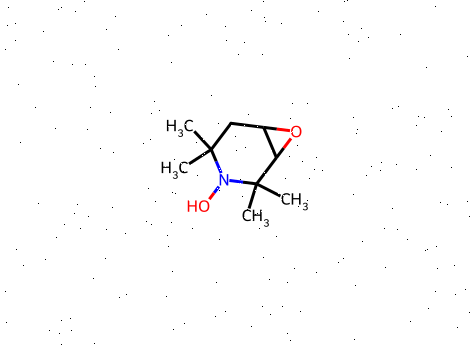 CC1(C)CC2OC2C(C)(C)N1O